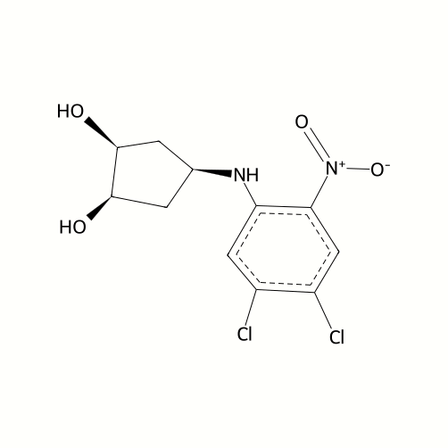 O=[N+]([O-])c1cc(Cl)c(Cl)cc1N[C@H]1C[C@@H](O)[C@@H](O)C1